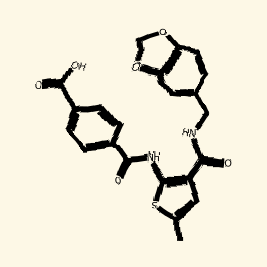 Cc1cc(C(=O)NCc2ccc3c(c2)OCO3)c(NC(=O)c2ccc(C(=O)O)cc2)s1